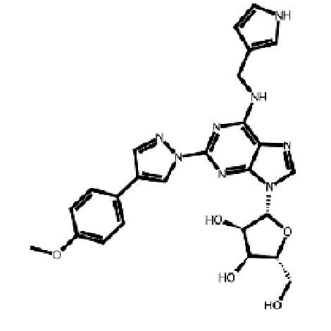 COc1ccc(-c2cnn(-c3nc(NCc4cc[nH]c4)c4ncn([C@@H]5O[C@H](CO)[C@@H](O)[C@H]5O)c4n3)c2)cc1